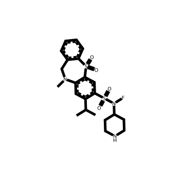 CC(C)c1cc2c(cc1S(=O)(=O)N(F)C1CCNCC1)S(=O)(=O)c1ccccc1CN2C